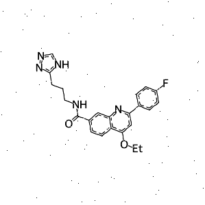 CCOc1cc(-c2ccc(F)cc2)nc2cc(C(=O)NCCCc3nnc[nH]3)ccc12